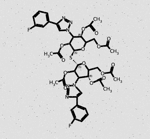 CC(=O)OCC1O[C@@H](S[C@@H]2OC(COC(C)=O)[C@H](OC(C)=O)C(n3cc(-c4cccc(F)c4)nn3)C2OC(C)=O)C(OC(C)=O)C(n2cc(-c3cccc(F)c3)nn2)[C@H]1OC(C)=O